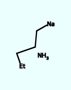 CCCC[CH2][Na].N